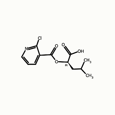 CC(C)C[C@@H](OC(=O)c1cccnc1Cl)C(=O)O